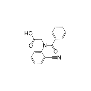 N#Cc1ccccc1N(CC(=O)O)C(=O)c1ccccc1